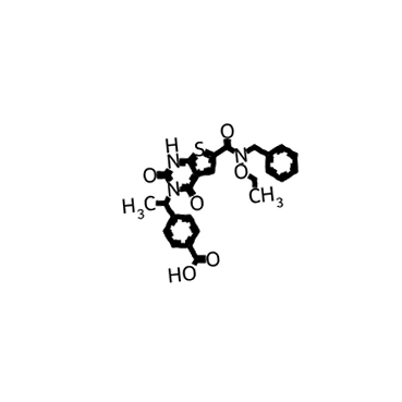 CCON(Cc1ccccc1)C(=O)c1cc2c(=O)n(C(C)c3ccc(C(=O)O)cc3)c(=O)[nH]c2s1